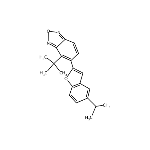 CC(C)c1ccc2oc(-c3ccc4nonc4c3C(C)(C)C)cc2c1